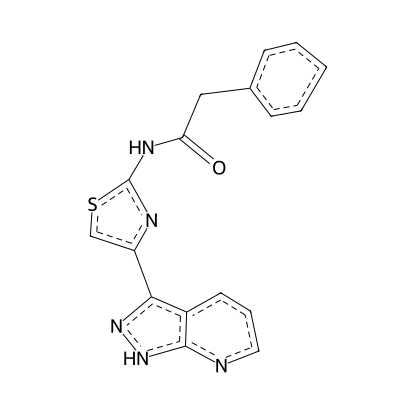 O=C(Cc1ccccc1)Nc1nc(-c2n[nH]c3ncccc23)cs1